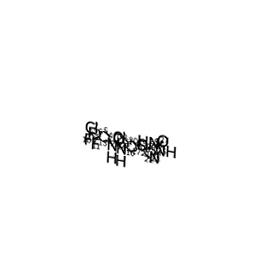 O=C(Nc1ccc(Cl)c(C(F)(F)F)c1)Nc1ccc(Oc2ccnc3[nH]c(=O)[nH]c23)cc1Cl